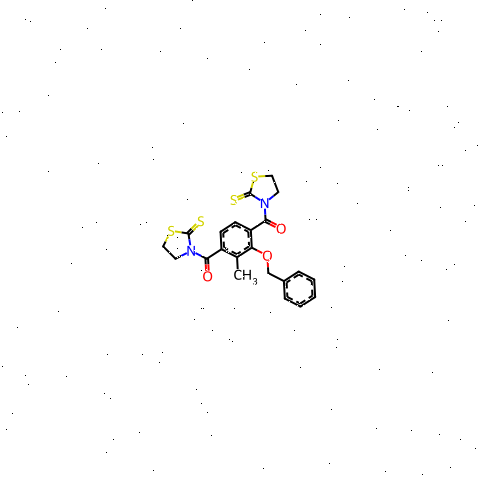 Cc1c(C(=O)N2CCSC2=S)ccc(C(=O)N2CCSC2=S)c1OCc1ccccc1